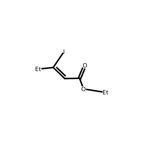 CCOC(=O)/C=C(\I)CC